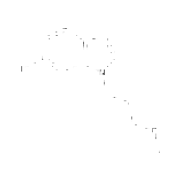 COCCCn1ccc2ccc(I)cc21